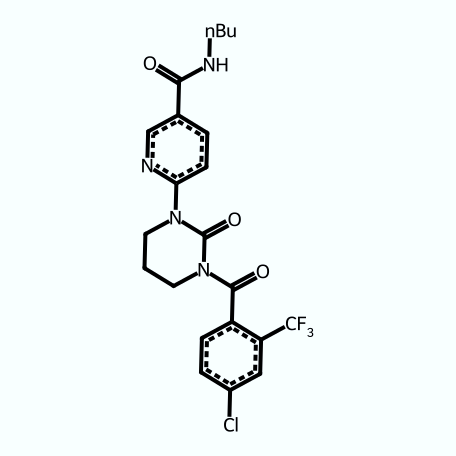 CCCCNC(=O)c1ccc(N2CCCN(C(=O)c3ccc(Cl)cc3C(F)(F)F)C2=O)nc1